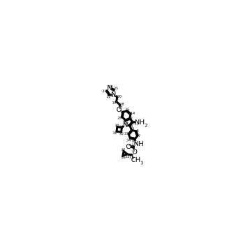 C[C@@H](OC(=O)Nc1ccc(-c2c(N)c3ccc(OCCCn4ccnc4)cc3n2C2CCC2)cc1)C1CC1